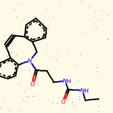 CCNC(=O)NCCC(=O)N1Cc2ccccc2C#Cc2ccccc21